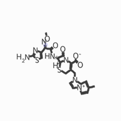 CO/N=C(\C(=O)N[C@@H]1C(=O)N2C(C(=O)[O-])=C(Cn3cc[n+]4ccc(C)cc34)CS[C@@H]12)c1csc(N)n1